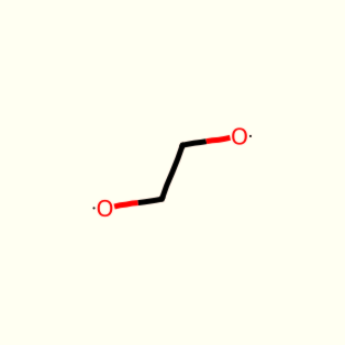 [O]CC[O]